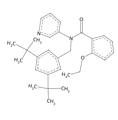 CCOc1ccccc1C(=O)N(Cc1cc(C(C)(C)C)cc(C(C)(C)C)c1)c1cccnc1